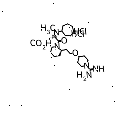 CN(C1CCCCCC1)[C@@H](CC(=O)O)C(=O)N1CCCCC1CCOC1CCN(C(=N)N)CC1.Cl.Cl